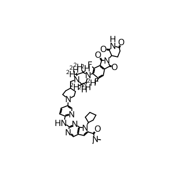 [2H]C1([2H])N(CC2CCN(c3ccc(Nc4ncc5cc(C(=O)N(C)C)n(C6CCCC6)c5n4)nc3)CC2)C([2H])([2H])C([2H])([2H])N(c2c(F)cc3c(c2F)C(=O)N(C2CCC(=O)NC2=O)C3=O)C1([2H])[2H]